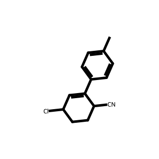 Cc1ccc(C2=CC(Cl)CCC2C#N)cc1